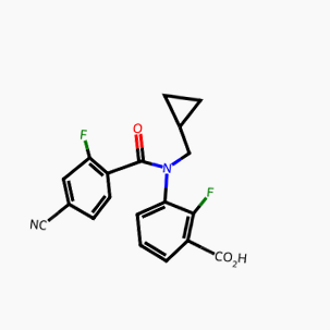 N#Cc1ccc(C(=O)N(CC2CC2)c2cccc(C(=O)O)c2F)c(F)c1